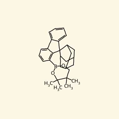 CC1(C)COB(c2cccc3c2C2(c4ccccc4-3)C3CC4CC(C3)CC2C4)OC1(C)C